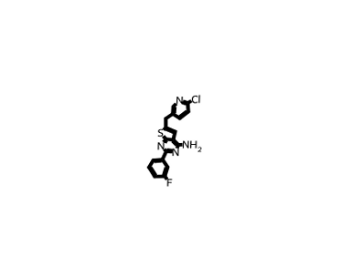 Nc1nc(-c2cccc(F)c2)nc2sc(Cc3ccc(Cl)nc3)cc12